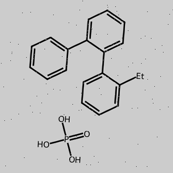 CCc1ccccc1-c1ccccc1-c1ccccc1.O=P(O)(O)O